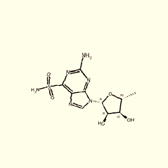 C[C@H]1O[C@@H](n2cnc3c(S(N)(=O)=O)nc(N)nc32)[C@H](O)[C@@H]1O